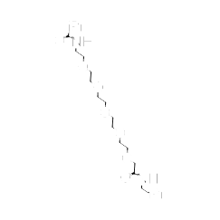 CC(C)CNC(=O)COCCOCCOCCOCCOCCNC(=O)C(C)C